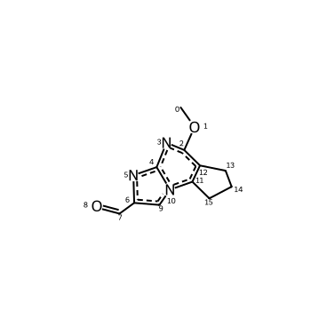 COc1nc2nc(C=O)cn2c2c1CCC2